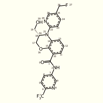 O=C(Nc1ccc(C(F)(F)F)nc1)c1cccc2c1OC[C@H](CO)N2c1ccc(CF)cn1